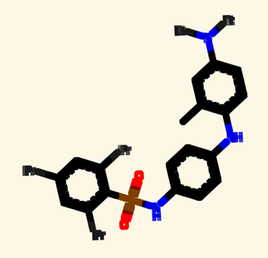 CCN(CC)c1ccc(Nc2ccc(NS(=O)(=O)c3c(C(C)C)cc(C(C)C)cc3C(C)C)cc2)c(C)c1